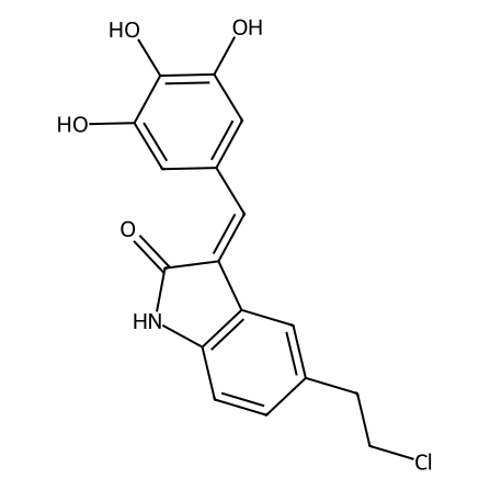 O=C1Nc2ccc(CCCl)cc2C1=Cc1cc(O)c(O)c(O)c1